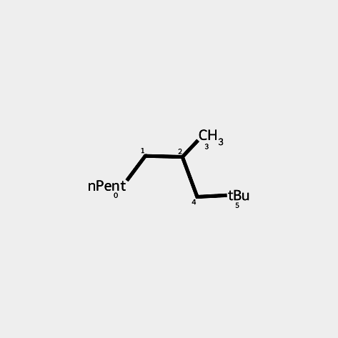 CCCCCCC(C)CC(C)(C)C